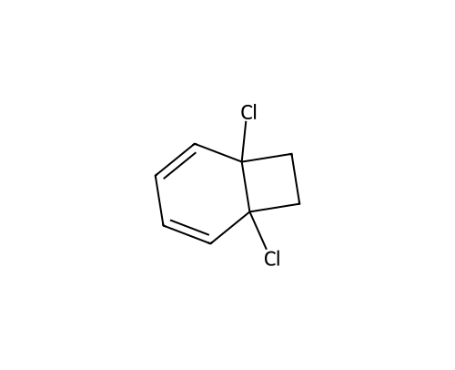 ClC12C=CC=CC1(Cl)CC2